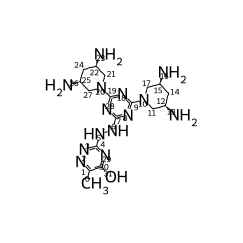 Cc1nnc(NNc2nc(N3C[C@H](N)C[C@H](N)C3)nc(N3C[C@H](N)C[C@H](N)C3)n2)nc1O